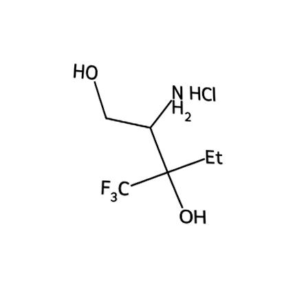 CCC(O)(C(N)CO)C(F)(F)F.Cl